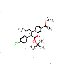 C=C(OC)c1ccc(C(CCC)C(C(=O)OC(C)(C)C)c2ccc(Cl)cc2)cc1